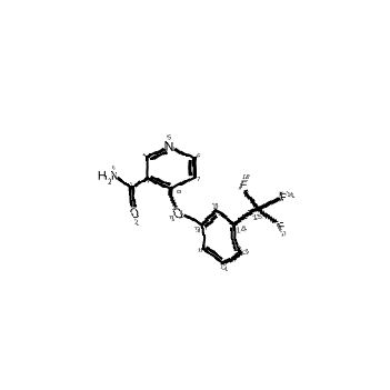 NC(=O)c1cnccc1Oc1cccc(C(F)(F)F)c1